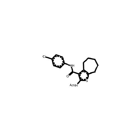 CC(=O)Nc1sc2c(c1C(=O)Nc1ccc(Cl)cc1)CCCCC2